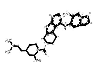 CNC1CC(CCN(C)C)CCN1C(=O)[C@H]1CCc2c(sc3ncnc(Nc4cc5ccnn5cc4OC)c23)C1